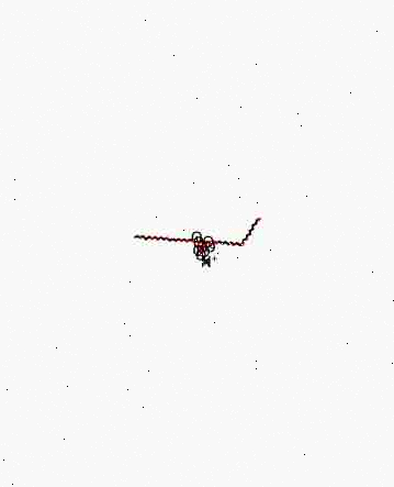 CCCCCCCCCC/C=C\CCCCCCCCCC(=O)O[C@H](COC(=O)CCCCCCCCCCCCCCCCCCCCC)COP(=O)([O-])OCC[N+](C)(C)C